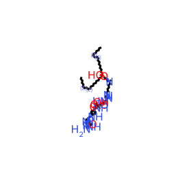 CCCCC/C=C\C/C=C\CCCCCCCCC(O)(CCCCCCCC/C=C\C/C=C\CCCCC)OCCCN(C)CCCCCCn1cc(CNC(=O)CC[C@H](NC(=O)c2ccc(NCc3cnc4nc(N)[nH]c(=O)c4n3)cc2)C(=O)O)nn1